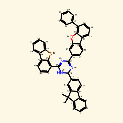 CC1(C)c2ccccc2-c2ccc(C3N=C(c4ccc5c(c4)oc4c(-c6ccccc6)cccc45)N=C(c4cccc5c4sc4ccccc45)N3)cc21